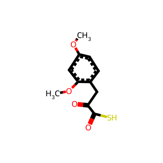 COc1ccc(CC(=O)C(=O)S)c(OC)c1